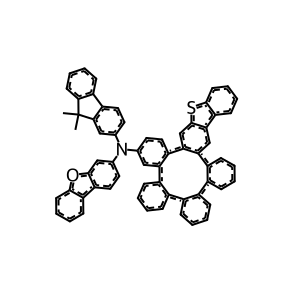 CC1(C)c2ccccc2-c2ccc(N(c3ccc4c(c3)oc3ccccc34)c3ccc4c(c3)c3ccccc3c3ccccc3c3ccccc3c3cc5c(cc43)sc3ccccc35)cc21